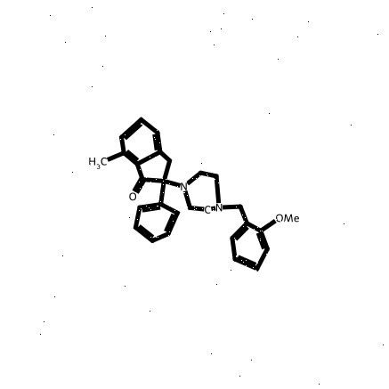 COc1ccccc1CN1CCN(C2(c3ccccc3)Cc3cccc(C)c3C2=O)CC1